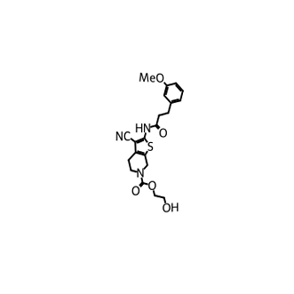 COc1cccc(CCC(=O)Nc2sc3c(c2C#N)CCN(C(=O)OCCO)C3)c1